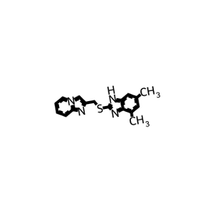 Cc1cc(C)c2nc(SCc3cn4ccccc4n3)[nH]c2c1